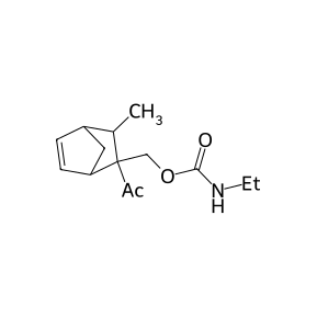 CCNC(=O)OCC1(C(C)=O)C2C=CC(C2)C1C